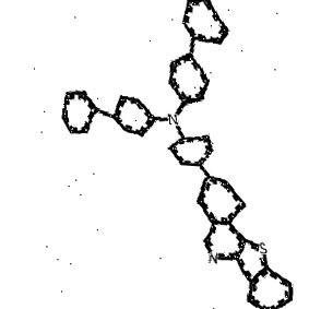 c1ccc(-c2ccc(N(c3ccc(-c4ccccc4)cc3)c3ccc(-c4ccc5c(cnc6c7ccccc7sc56)c4)cc3)cc2)cc1